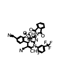 CC1=C(C#N)C(c2ccc(C#N)cc2S(C)(=O)=O)n2nc(N3C(=O)c4ccccc4C3=O)nc2N1c1cccc(C(F)(F)F)c1